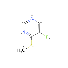 CSc1n[c]ncc1F